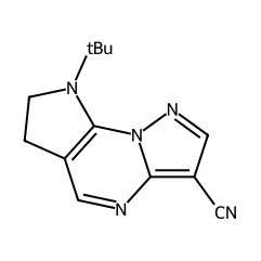 CC(C)(C)N1CCc2cnc3c(C#N)cnn3c21